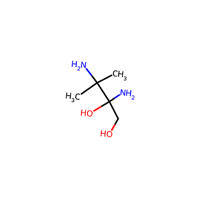 CC(C)(N)C(N)(O)CO